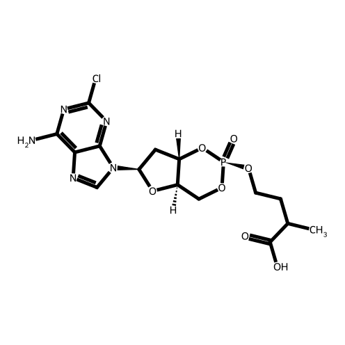 CC(CCO[P@@]1(=O)OC[C@H]2O[C@@H](n3cnc4c(N)nc(Cl)nc43)C[C@@H]2O1)C(=O)O